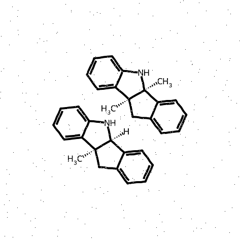 C[C@@]12Cc3ccccc3[C@@H]1Nc1ccccc12.C[C@@]12Cc3ccccc3[C@]1(C)Nc1ccccc12